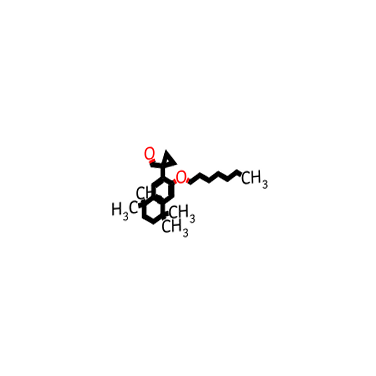 CCCCCCCOc1cc2c(cc1C1(C=O)CC1)C(C)(C)CCC2(C)C